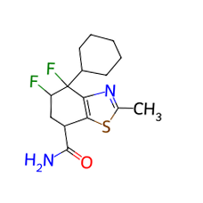 Cc1nc2c(s1)C(C(N)=O)CC(F)C2(F)C1CCCCC1